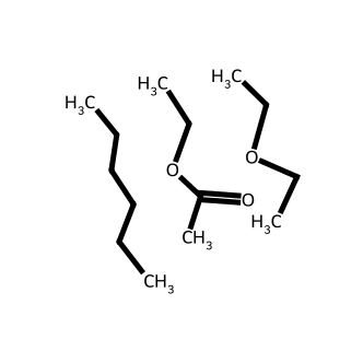 CCCCCC.CCOC(C)=O.CCOCC